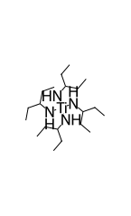 CCC(CC)[NH][Ti]([NH]C(CC)CC)([NH]C(CC)CC)[NH]C(CC)CC